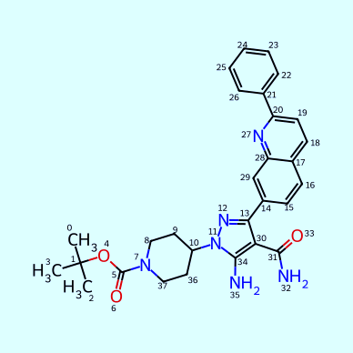 CC(C)(C)OC(=O)N1CCC(n2nc(-c3ccc4ccc(-c5ccccc5)nc4c3)c(C(N)=O)c2N)CC1